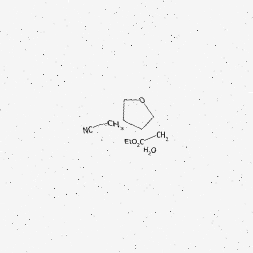 C1CCOC1.CC#N.CCOC(C)=O.O